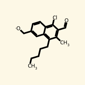 CCCCCc1c(C)c(C=O)c(Cl)c2ccc(C[O])cc12